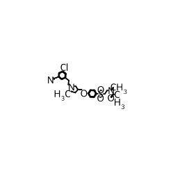 CC(=O)N(C)CCS(=O)(=O)c1ccc(OCC2CC(C)N(CCc3cc(Cl)cc(C#N)c3)C2)cc1